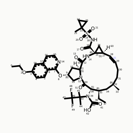 CCOc1ccc2c(O[C@@H]3C[C@H]4C(=O)N[C@]5(C(=O)NS(=O)(=O)C6(C)CC6)C[C@H]5/C=C\CC[C@@H](C)C[C@@H](CC)[C@H](N(C(=O)O)C(C)(C)C(C)(F)F)C(=O)N4C3)nccc2c1